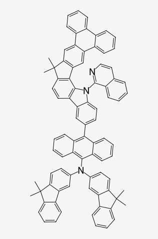 CC1(C)c2ccccc2-c2cc(N(c3ccc4c(c3)-c3ccccc3C4(C)C)c3c4ccccc4c(-c4ccc5c(c4)c4ccc6c(c4n5-c4nccc5ccccc45)-c4cc5c7ccccc7c7ccccc7c5cc4C6(C)C)c4ccccc34)ccc21